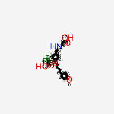 COc1ccc(CCCCOc2ccc(CCNCCC(=O)O)cc2)cc1.O=C(O)C(F)(F)F